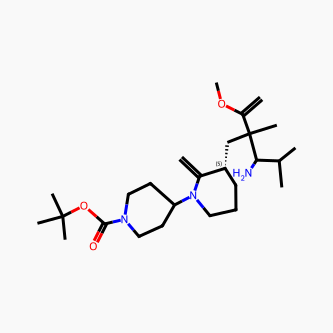 C=C1[C@H](CC(C)(C(=C)OC)C(N)C(C)C)CCCN1C1CCN(C(=O)OC(C)(C)C)CC1